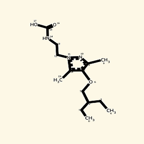 CCC(CC)COc1c(C)nn(CCNC(=O)O)c1C